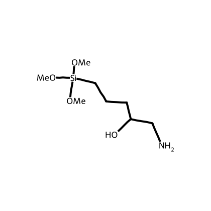 CO[Si](CCCC(O)CN)(OC)OC